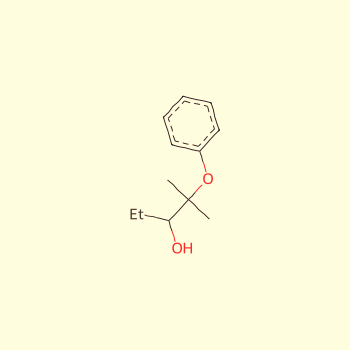 [CH2]CC(O)C(C)(C)Oc1ccccc1